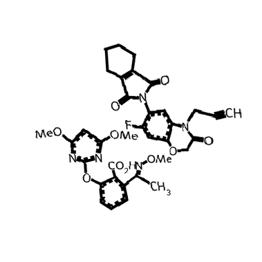 C#CCN1C(=O)COc2cc(F)c(N3C(=O)C4=C(CCCC4)C3=O)cc21.CON=C(C)c1cccc(Oc2nc(OC)cc(OC)n2)c1C(=O)O